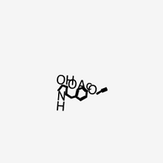 C#CCOc1ccc(CC2NCC(O)C2OC(C)=O)cc1